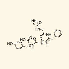 NCC(=O)NCC(=O)N[C@@H](Cc1ccccc1)C(=O)NCC(=O)N[C@H](Cc1ccc(O)cc1)C(=O)O